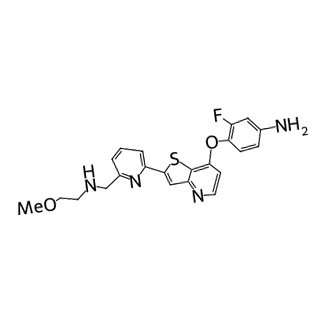 COCCNCc1cccc(-c2cc3nccc(Oc4ccc(N)cc4F)c3s2)n1